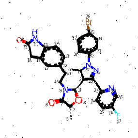 CC1C([C@H]2O[C@H](C)C(=O)N2CCc2ccc3c(c2)CC(=O)N3)C(c2ccc(F)cn2)=NN1c1ccc(Br)cc1